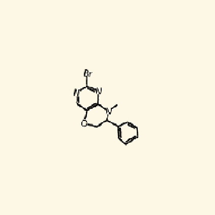 CN1c2nc(Br)ncc2OCC1c1ccccc1